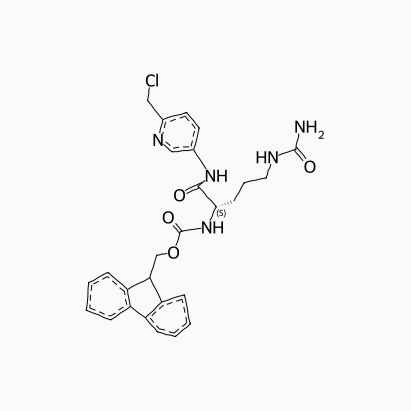 NC(=O)NCCC[C@H](NC(=O)OCC1c2ccccc2-c2ccccc21)C(=O)Nc1ccc(CCl)nc1